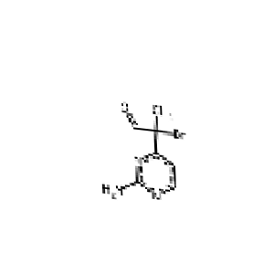 CC(Br)(C=O)c1ccnc(N)n1